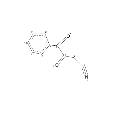 N#CCC(=O)C(=O)c1ccccc1